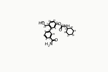 NC(=O)c1cccc(-c2cc(OC(=O)NC3CCCCC3)ccc2CO)c1